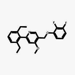 CCc1cccc(CC)c1-c1cc(OC)c(COc2cccc(F)c2F)cn1